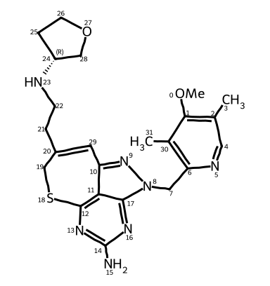 COc1c(C)cnc(Cn2nc3c4c(nc(N)nc42)SCC(CCN[C@@H]2CCOC2)=C3)c1C